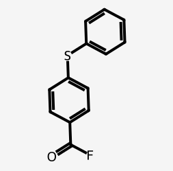 O=C(F)c1ccc(Sc2ccccc2)cc1